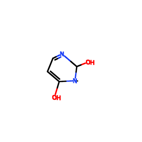 OC1=CC=NC(O)[N]1